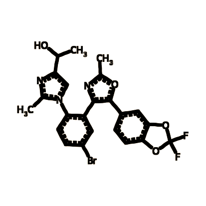 Cc1nc(-c2cc(Br)ccc2-n2cc(C(C)O)nc2C)c(-c2ccc3c(c2)OC(F)(F)O3)o1